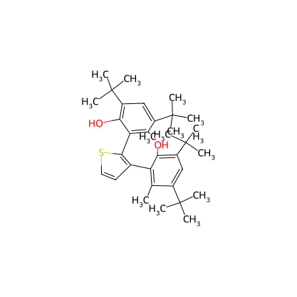 Cc1c(C(C)(C)C)cc(C(C)(C)C)c(O)c1-c1ccsc1-c1c(C)c(C(C)(C)C)cc(C(C)(C)C)c1O